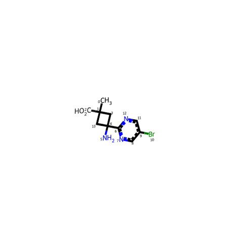 CC1(C(=O)O)CC(N)(c2ncc(Br)cn2)C1